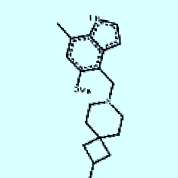 COc1cc(C)c2[nH]ccc2c1CN1CCC2(CC1)CC(C#N)C2